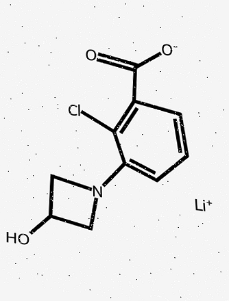 O=C([O-])c1cccc(N2CC(O)C2)c1Cl.[Li+]